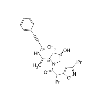 C=C(N[C@@H](C)C#Cc1ccccc1)[C@@H]1C[C@@H](O)CN1C(=O)C(c1cc(C(C)C)no1)C(C)C